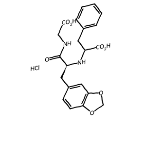 Cl.O=C(O)CNC(=O)[C@H](Cc1ccc2c(c1)OCO2)NC(Cc1ccccc1)C(=O)O